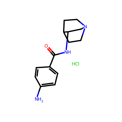 Cl.Nc1ccc(C(=O)NC2CN3CCC2CC3)cc1